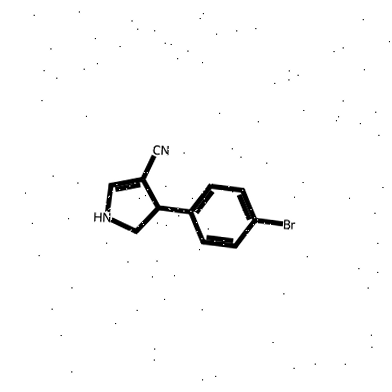 N#CC1=CNCC1c1ccc(Br)cc1